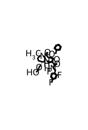 C[C@H]1CC[C@@H](COCO)[C@H]2CN1C(=O)c1c(OCc3ccccc3)c(=O)c(C(=O)NCc3c(F)cc(F)cc3F)cn12